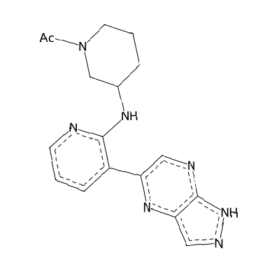 CC(=O)N1CCCC(Nc2ncccc2-c2cnc3[nH]ncc3n2)C1